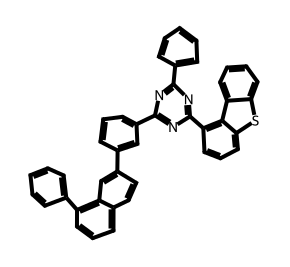 c1ccc(-c2nc(-c3cccc(-c4ccc5cccc(-c6ccccc6)c5c4)c3)nc(-c3cccc4sc5ccccc5c34)n2)cc1